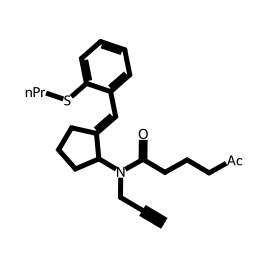 C#CCN(C(=O)CCCC(C)=O)C1CCC/C1=C\c1ccccc1SCCC